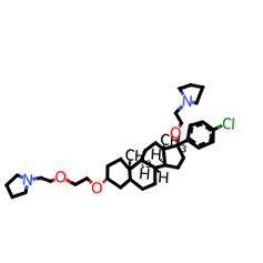 C[C@]12CC[C@H](OCCOCCN3CCCC3)CC1CC[C@@H]1[C@@H]2CC[C@@]2(C)[C@H]1CC[C@@]2(OCCN1CCCC1)c1ccc(Cl)cc1